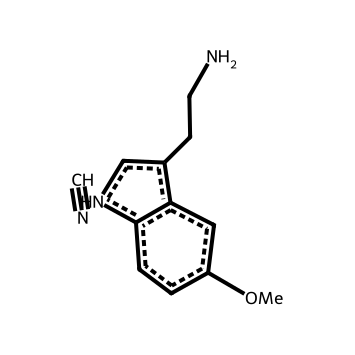 C#N.COc1ccc2[nH]cc(CCN)c2c1